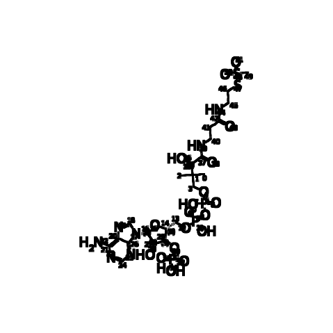 CC(C)(COP(=O)(O)OP(=O)(O)OC[C@H]1O[C@@H](n2cnc3c(N)ncnc32)[C@H](O)[C@@H]1OP(=O)(O)O)[C@@H](O)C(=O)NCCC(=O)NCCSS(C)(=O)=O